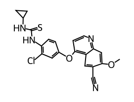 COc1cc2nccc(Oc3ccc(NC(=S)NC4CC4)c(Cl)c3)c2cc1C#N